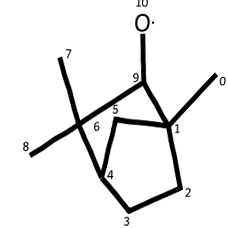 CC12CCC(C1)C(C)(C)C2[O]